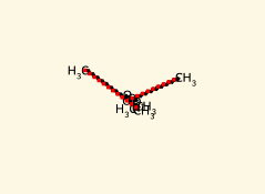 CCCCCCCCC=CCCCCCCCC(=O)OC(CC[N+](C)(C)C)OC(=O)CCCCCCCC=CCCCCCCCC